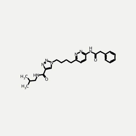 CC(C)CNC(=O)c1cn(CCCCc2ccc(NC(=O)Cc3ccccc3)nn2)nn1